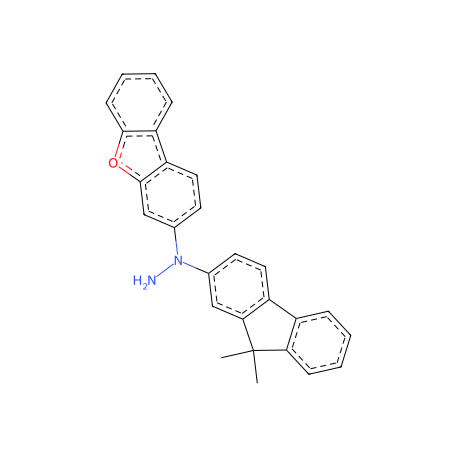 CC1(C)c2ccccc2-c2ccc(N(N)c3ccc4c(c3)oc3ccccc34)cc21